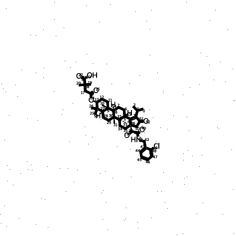 CC(C)C1=C2[C@H]3CC[C@@H]4[C@@]5(C)CC[C@H](OC(=O)CC(C)(C)C(=O)O)C(C)(C)[C@@H]5CC[C@@]4(C)[C@]3(C)CC[C@@]2(C(=O)C(=O)NCc2ccccc2Cl)CC1=O